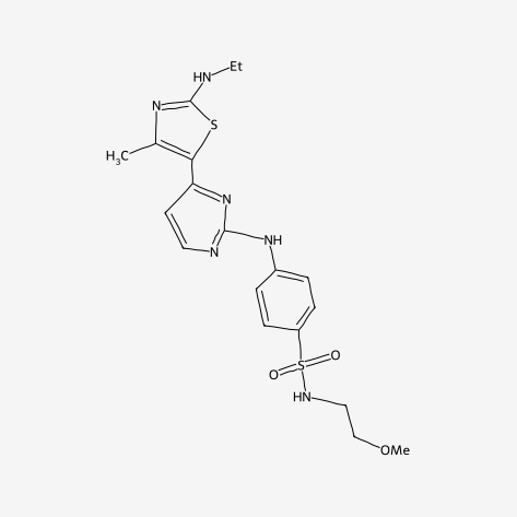 CCNc1nc(C)c(-c2ccnc(Nc3ccc(S(=O)(=O)NCCOC)cc3)n2)s1